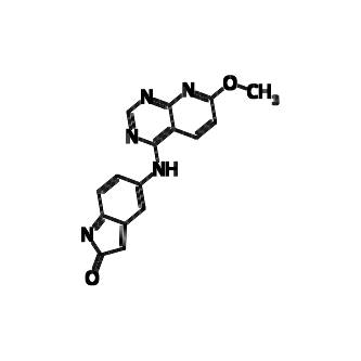 COc1ccc2c(Nc3ccc4c(c3)=CC(=O)N=4)ncnc2n1